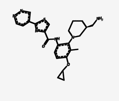 Cc1c(OC2CC2)ccc(NC(=O)c2csc(-c3ccnnc3)n2)c1N1CCC[C@@H](CN)C1